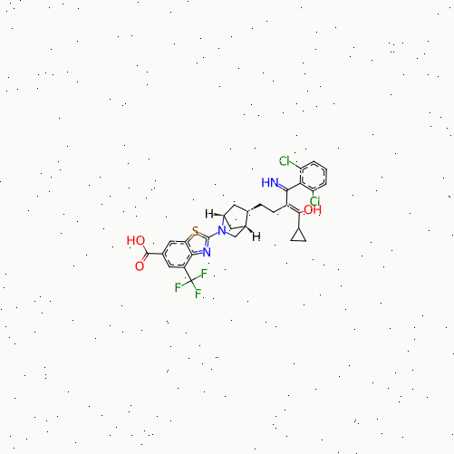 N=C(/C(CC[C@@H]1C[C@@H]2C[C@H]1CN2c1nc2c(C(F)(F)F)cc(C(=O)O)cc2s1)=C(\O)C1CC1)c1c(Cl)cccc1Cl